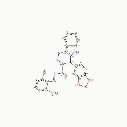 O=C(O)c1cccc(Cl)c1/C=C/C(=O)N1CCc2c([nH]c3ccccc23)C1c1ccc2c(c1)OCO2